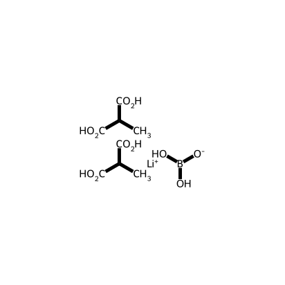 CC(C(=O)O)C(=O)O.CC(C(=O)O)C(=O)O.[Li+].[O-]B(O)O